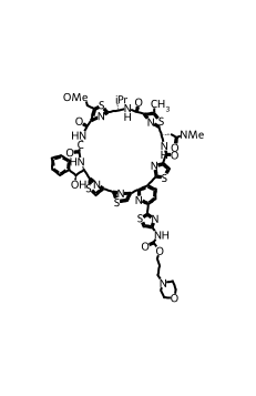 CNC(=O)C[C@@H]1NC(=O)c2csc(n2)-c2ccc(-c3nc(NC(=O)OCCCN4CCOCC4)cs3)nc2-c2csc(n2)-c2csc(n2)[C@H]([C@@H](O)c2ccccc2)NC(=O)CNC(=O)c2nc(sc2COC)[C@H](C(C)C)NC(=O)c2nc1sc2C